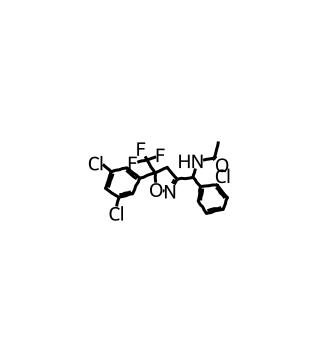 CC(=O)NC(C1=NOC(c2cc(Cl)cc(Cl)c2)(C(F)(F)F)C1)c1ccccc1Cl